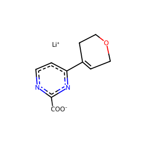 O=C([O-])c1nccc(C2=CCOCC2)n1.[Li+]